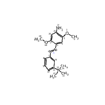 COc1cc(/N=N/c2cccc([N+](C)(C)C)c2)c(OC)cc1N